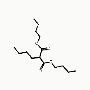 CCCCOC(=O)C(CCCC)C(=O)OCCCC